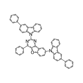 c1ccc(-c2ccc3c(c2)c2ccccc2n3-c2ccc3oc4c(-c5ccccc5)nc(-n5c6ccccc6c6cc(-c7ccccc7)ccc65)nc4c3c2)cc1